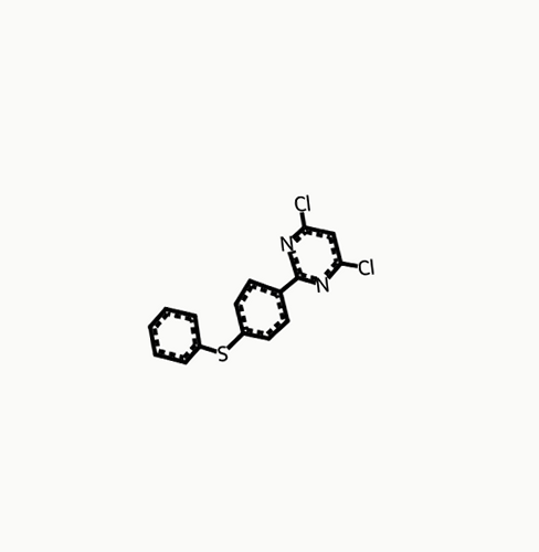 Clc1cc(Cl)nc(-c2ccc(Sc3ccccc3)cc2)n1